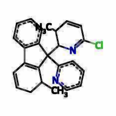 CC1CC=CC2=C1C(c1ccccn1)(C1N=C(Cl)C=CC1C)c1ccccc12